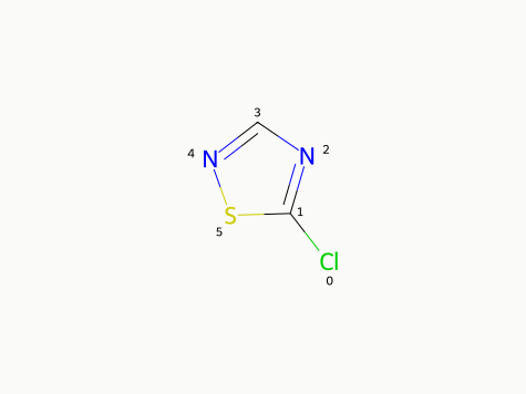 Clc1ncns1